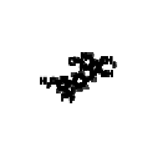 Cc1cc(C(F)(F)F)n(-c2ccc(Cn3c(=N)n(C)c4cnc(Cl)nc43)cc2)n1